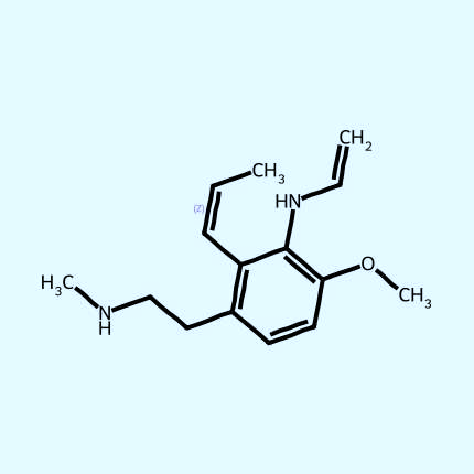 C=CNc1c(OC)ccc(CCNC)c1/C=C\C